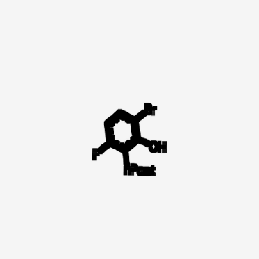 CCCCCc1c(F)ccc(Br)c1O